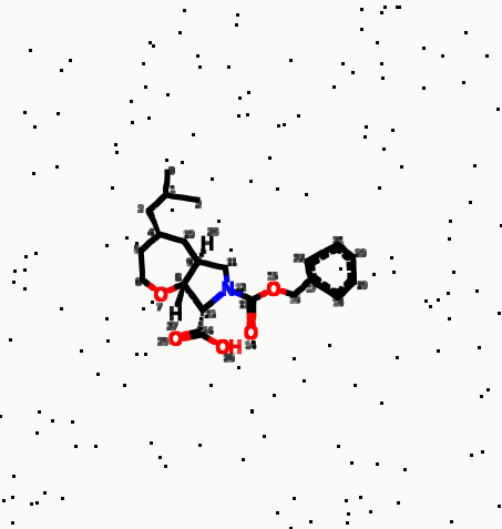 CC(C)C[C@@H]1CCO[C@@H]2[C@@H](C1)CN(C(=O)OCc1ccccc1)[C@@H]2C(=O)O